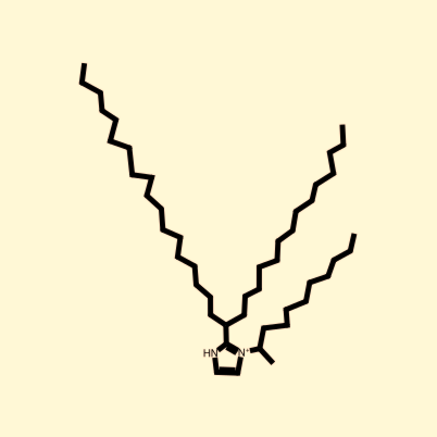 CCCCCCCCCCCCCCCCCCC(CCCCCCCCCCCCCC)c1[nH]cc[n+]1C(C)CCCCCCCCC